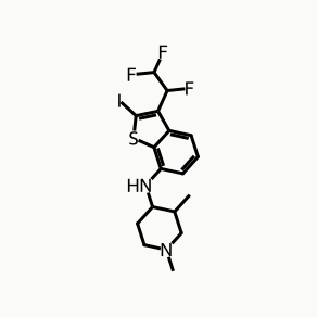 CC1CN(C)CCC1Nc1cccc2c(C(F)C(F)F)c(I)sc12